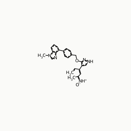 C=C/C(=C\C(C)=[NH+]\[O-])c1c[nH]nc1OCc1ccc(-c2cccc3c2ncn3C)cc1